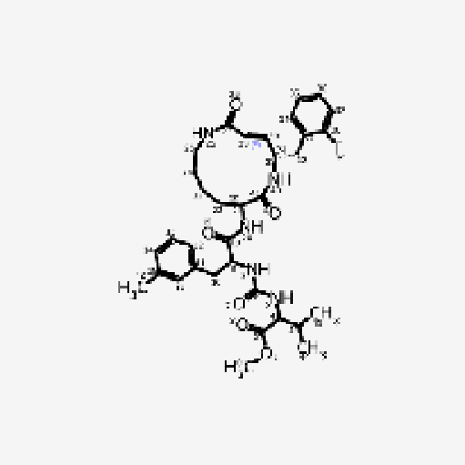 COC(=O)C(NC(=O)NC(Cc1cccc(C)c1)C(=O)N[C@H]1CCCCNC(=O)/C=C/[C@H](Cc2ccccc2F)NC1=O)C(C)C